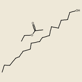 CCCCCCCCCCCCCCCCO.CCOC(C)=O